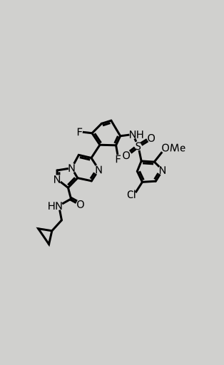 COc1ncc(Cl)cc1S(=O)(=O)Nc1ccc(F)c(-c2cn3cnc(C(=O)NCC4CC4)c3cn2)c1F